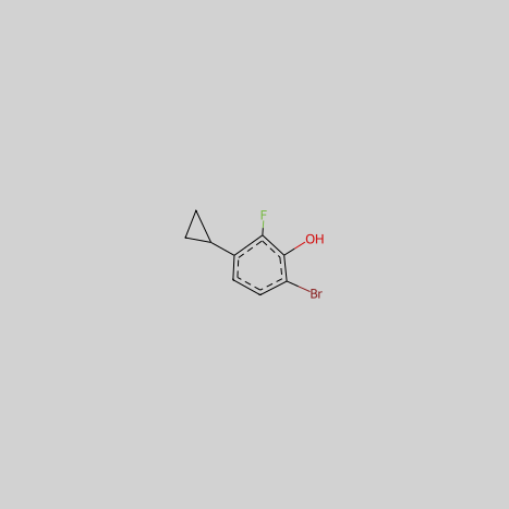 Oc1c(Br)ccc(C2CC2)c1F